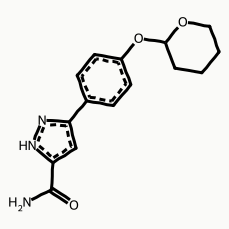 NC(=O)c1cc(-c2ccc(OC3CCCCO3)cc2)n[nH]1